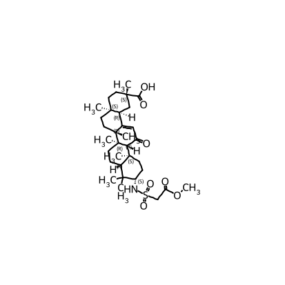 COC(=O)CS(=O)(=O)N[C@H]1CC[C@]2(C)[C@H]3C(=O)C=C4[C@@H]5C[C@@](C)(C(=O)O)CC[C@]5(C)CC[C@@]4(C)[C@]3(C)CC[C@H]2C1(C)C